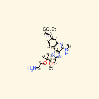 [3H]Nc1nc2cc(/C=C/C(=O)OCC)ccc2c2c1nc(COCC)n2CC(C)(C)OCCN